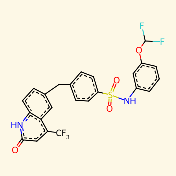 O=c1cc(C(F)(F)F)c2cc(Cc3ccc(S(=O)(=O)Nc4cccc(OC(F)F)c4)cc3)ccc2[nH]1